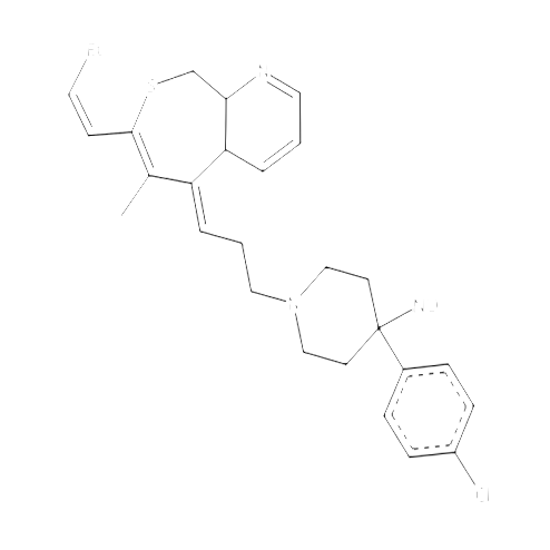 CC/C=C\C1=C(C)C(=C/CCN2CCC(N=O)(c3ccc(Cl)cc3)CC2)/C2C=CC=NC2CS1